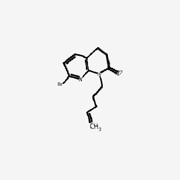 C=CCCCN1C(=O)CCc2ccc(Br)nc21